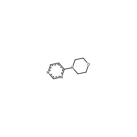 [c]1cc(N2CCOCC2)ncn1